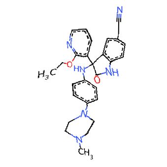 CCOc1ncccc1C1(Nc2ccc(N3CCN(C)CC3)cc2)C(=O)Nc2ccc(C#N)cc21